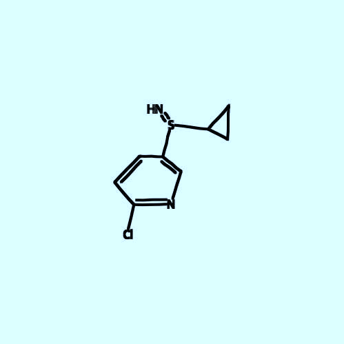 N=S(c1ccc(Cl)nc1)C1CC1